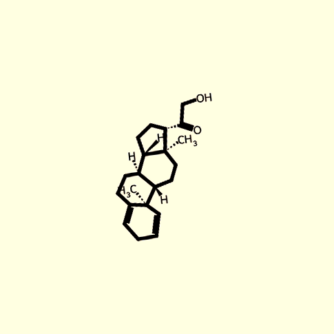 C[C@]12CC[C@H]3[C@@H](CCC4=CCC=C[C@@]43C)[C@@H]1CC[C@@H]2C(=O)CO